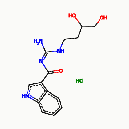 Cl.NC(=NC(=O)c1c[nH]c2ccccc12)NCCC(O)CO